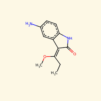 CCC(OC)=C1C(=O)Nc2ccc(N)cc21